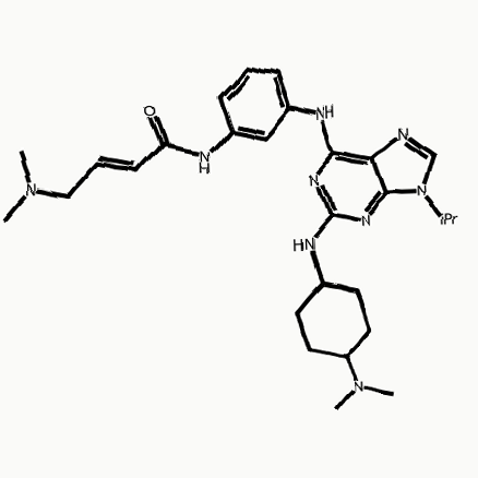 CC(C)n1cnc2c(Nc3cccc(NC(=O)/C=C/CN(C)C)c3)nc(NC3CCC(N(C)C)CC3)nc21